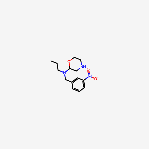 CCCN(Cc1cccc([N+](=O)[O-])c1)C1CNCCO1